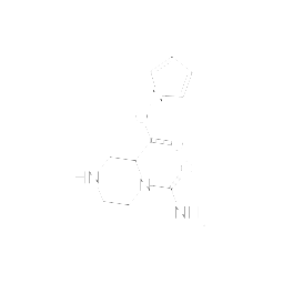 NC(=O)N1CCNCC1C(=O)On1cccc1